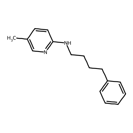 Cc1ccc(NCCCCc2ccccc2)nc1